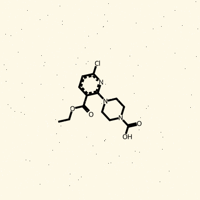 CCOC(=O)c1ccc(Cl)nc1N1CCN(C(=O)O)CC1